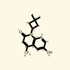 CC1(C)CC(n2c(=O)cc(C(F)(F)F)c3cc(O)cnc32)C1